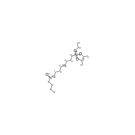 CCCCC(=O)SCCCSCCC[Si](OCC)(OCC)OCC